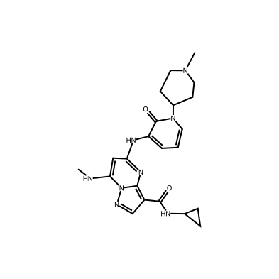 CNc1cc(Nc2cccn(C3CCN(C)CC3)c2=O)nc2c(C(=O)NC3CC3)cnn12